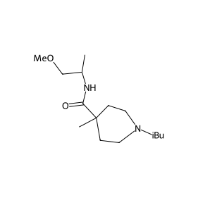 CCC(C)N1CCC(C)(C(=O)NC(C)COC)CC1